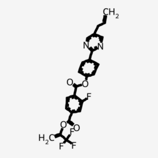 C=CCc1cnc(-c2ccc(OC(=O)c3ccc(C(=O)OC(=C)C(F)(F)F)cc3F)cc2)nc1